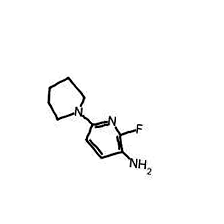 Nc1ccc(N2CCCCC2)nc1F